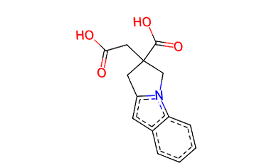 O=C(O)CC1(C(=O)O)Cc2cc3ccccc3n2C1